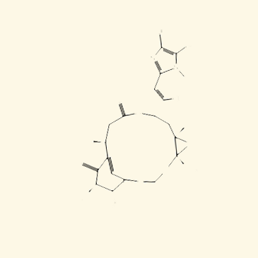 C/C(=C\c1nc(Br)c(Br)n1C)[C@@H]1C[C@@H]2O[C@]2(C)CCC[C@@H]2C=C(C(=O)[C@H](C)[C@H]2O)[C@@H](O)CC(=O)O1